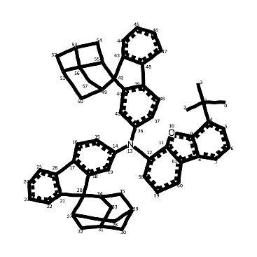 CC(C)(C)c1cccc2c1oc1c(N(c3ccc4c(c3)C3(c5ccccc5-4)C4CC5CC(C4)CC3C5)c3ccc4c(c3)C3(c5ccccc5-4)C4CC5CC6CC3C56C4)cccc12